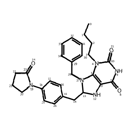 CCCCn1c2c(c(=O)[nH]c1=O)NC(Cc1ccc(N3CCCC3=O)cc1)N2Cc1ccccc1